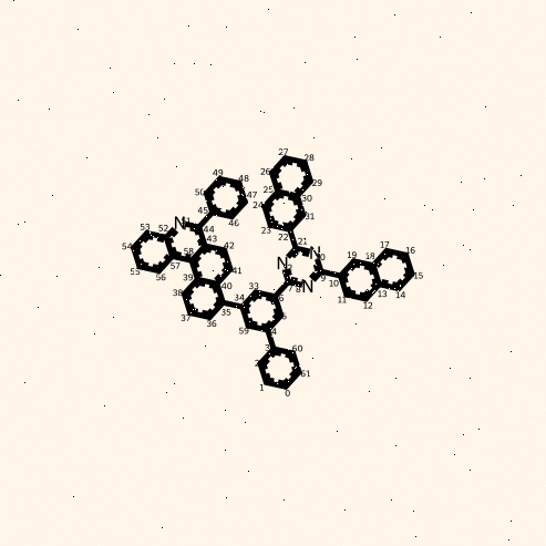 c1ccc(-c2cc(-c3nc(-c4ccc5ccccc5c4)nc(-c4ccc5ccccc5c4)n3)cc(-c3cccc4c3ccc3c(-c5ccccc5)nc5ccccc5c34)c2)cc1